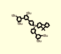 CC(C)(C)c1cc(-c2ccc(N(c3cccc(-c4cc(C(C)(C)C)cc(C(C)(C)C)c4)c3)c3ccc4c(c3)C(C)(C)c3ccccc3-4)cc2)cc(-c2cc(C(C)(C)C)cc(C(C)(C)C)c2)c1